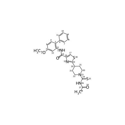 COc1ccc(-c2ccccc2)c(NC(=O)c2csc(C3CCN(C(=S)NC(C)=O)CC3)n2)c1